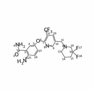 NC(=O)c1cc(Oc2ncc(CN3CCCC(F)(F)C3)cc2C(F)(F)F)ccc1N